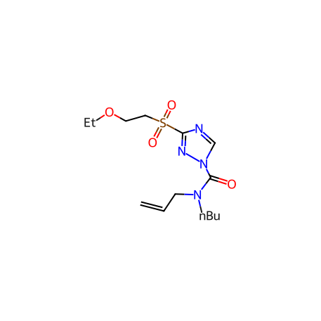 C=CCN(CCCC)C(=O)n1cnc(S(=O)(=O)CCOCC)n1